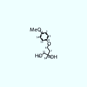 COc1ccc(OCCC(C)(O)CO)cc1